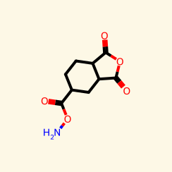 NOC(=O)C1CCC2C(=O)OC(=O)C2C1